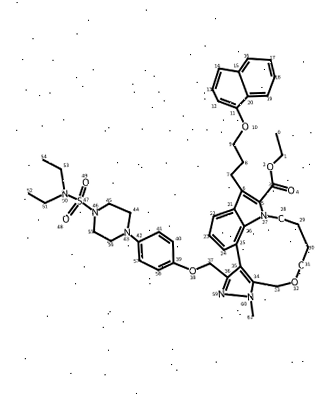 CCOC(=O)c1c(CCCOc2cccc3ccccc23)c2cccc3c2n1CCCCOCc1c-3c(COc2ccc(N3CCN(S(=O)(=O)N(CC)CC)CC3)cc2)nn1C